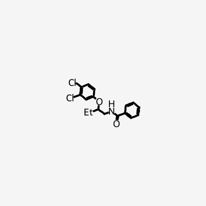 CCC(CNC(=O)c1ccccc1)Oc1ccc(Cl)c(Cl)c1